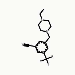 CCN1CCN(Cc2cc(C#N)cc(C(F)(F)F)c2)CC1